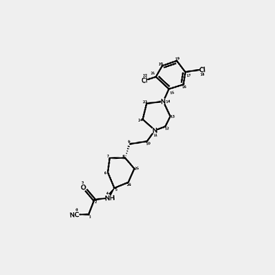 N#CCC(=O)N[C@H]1CC[C@H](CCN2CCN(c3cc(Cl)ccc3Cl)CC2)CC1